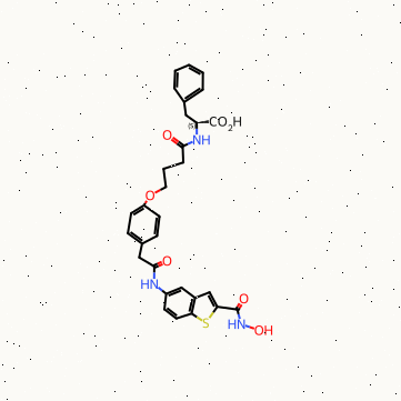 O=C(Cc1ccc(OCCCC(=O)N[C@@H](Cc2ccccc2)C(=O)O)cc1)Nc1ccc2sc(C(=O)NO)cc2c1